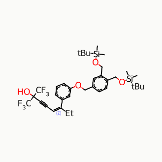 CC/C(=C/C#CC(O)(C(F)(F)F)C(F)(F)F)c1cccc(OCc2ccc(CO[Si](C)(C)C(C)(C)C)c(CO[Si](C)(C)C(C)(C)C)c2)c1